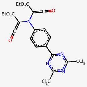 CCOC(=O)C(=C=O)N(C(=C=O)C(=O)OCC)c1ccc(-c2nc(C(Cl)(Cl)Cl)nc(C(Cl)(Cl)Cl)n2)cc1